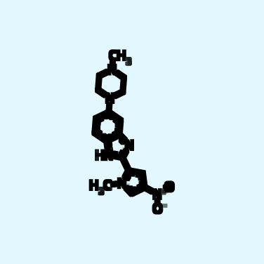 CN1CCN(c2ccc3[nH]c(-c4cc([N+](=O)[O-])cn4C)nc3c2)CC1